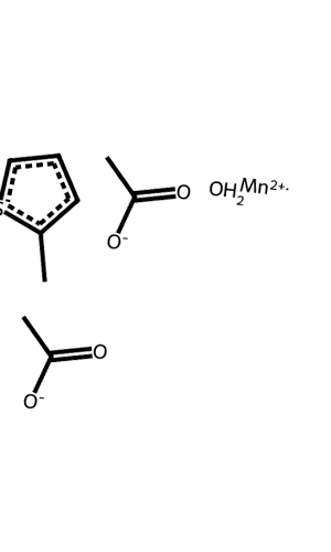 CC(=O)[O-].CC(=O)[O-].Cc1cccs1.O.[Mn+2]